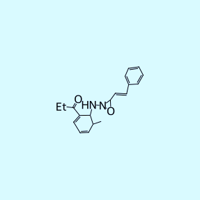 CCC(=O)C1=CC=CC(C)C1NN1OC1/C=C/c1ccccc1